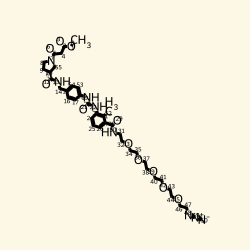 COC(=O)CC(=O)N1CC[C@H](C(=O)NCc2ccc(NC(=O)Nc3cccc(C(=O)NCCOCCOCCOCCOCCOCCN=[N+]=[N-])c3C)cc2)C1